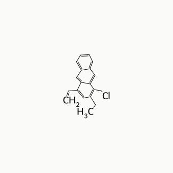 C=Cc1cc(CC)c(CCl)c2cc3ccccc3cc12